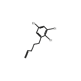 C=CCCCc1cc(CC)cc(CC)c1CC